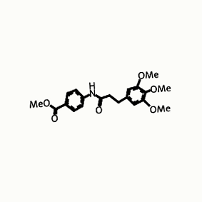 COC(=O)c1ccc(NC(=O)CCc2cc(OC)c(OC)c(OC)c2)cc1